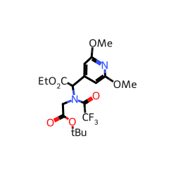 CCOC(=O)C(c1cc(OC)nc(OC)c1)N(CC(=O)OC(C)(C)C)C(=O)C(F)(F)F